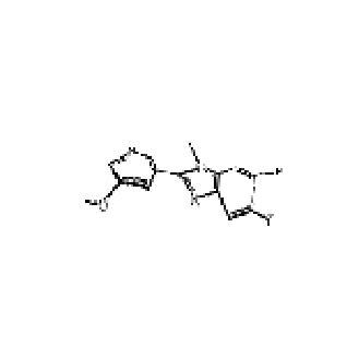 COc1cncc(-c2nc3cc(F)c(F)cc3n2C)c1